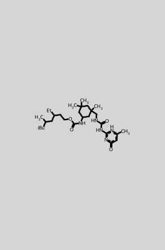 CCC(CCOC(=O)NC1CC(C)(C)CC(C)(CNC(=O)Nc2nc(=O)cc(C)[nH]2)C1)CC(C)C(C)CC